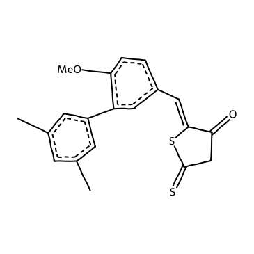 COc1ccc(/C=C2\SC(=S)CC2=O)cc1-c1cc(C)cc(C)c1